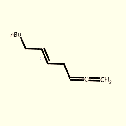 C=C=CC/C=C/CCCCC